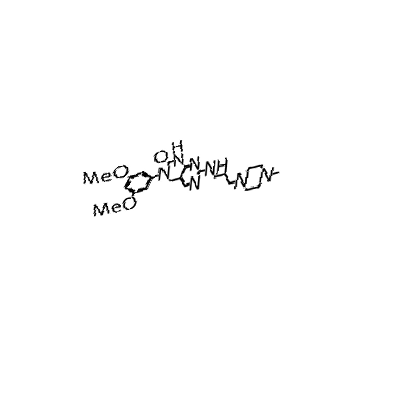 COc1cc(OC)cc(N2Cc3cnc(NCCCN4CCN(C)CC4)nc3NC2=O)c1